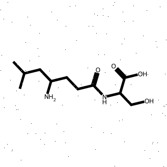 CC(C)CC(N)CCC(=O)NC(CO)C(=O)O